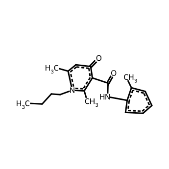 CCCCn1c(C)cc(=O)c(C(=O)Nc2ccccc2C)c1C